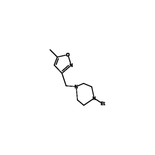 CCN1CCN(Cc2cc(C)on2)CC1